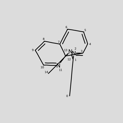 CC1N=C2C=CC=C3C=CC=NC32N1C